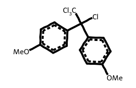 COc1ccc(C(Cl)(c2ccc(OC)cc2)C(Cl)(Cl)Cl)cc1